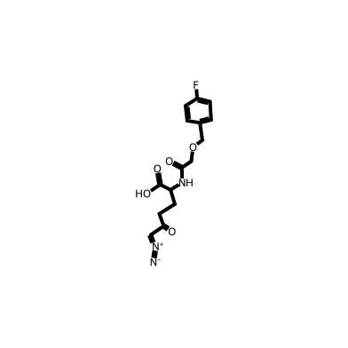 [N-]=[N+]=CC(=O)CCC(NC(=O)COCc1ccc(F)cc1)C(=O)O